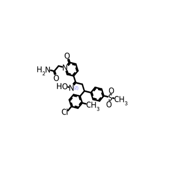 Cc1cc(Cl)ccc1C(C/C(=N/O)c1ccc(=O)n(CC(N)=O)c1)c1ccc(S(C)(=O)=O)cc1